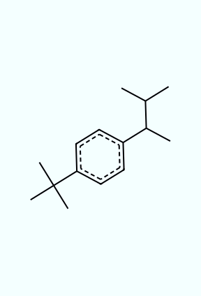 CC(C)C(C)c1ccc(C(C)(C)C)cc1